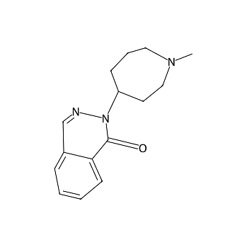 CN1CCCC(n2ncc3ccccc3c2=O)CC1